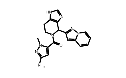 Cn1nc(N)cc1C(=O)N1CCc2[nH]cnc2C1c1cc2ccccn2n1